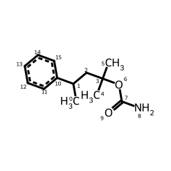 CC(CC(C)(C)OC(N)=O)c1ccccc1